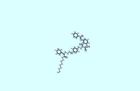 CCCCCCCCCC(=O)N(CCCOc1ccc(CCC(Nc2ccccc2OC(=O)c2ccccc2)C(=O)O)cc1)c1ccccc1